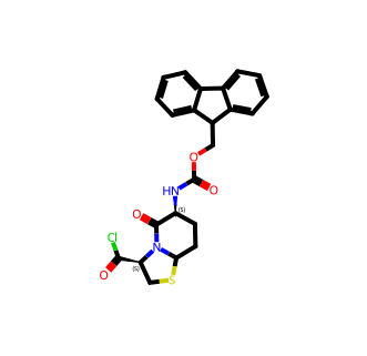 O=C(N[C@H]1CCC2SC[C@@H](C(=O)Cl)N2C1=O)OCC1c2ccccc2-c2ccccc21